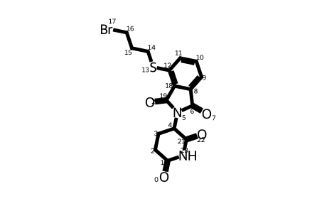 O=C1CCC(N2C(=O)c3cccc(SCCCBr)c3C2=O)C(=O)N1